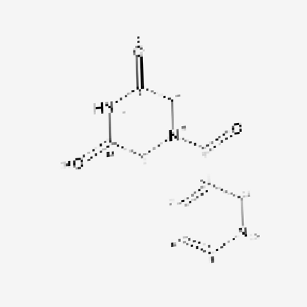 O=C1CN(C(=O)c2cc[c]nc2)CC(=O)N1